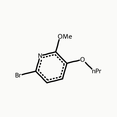 CCCOc1ccc(Br)nc1OC